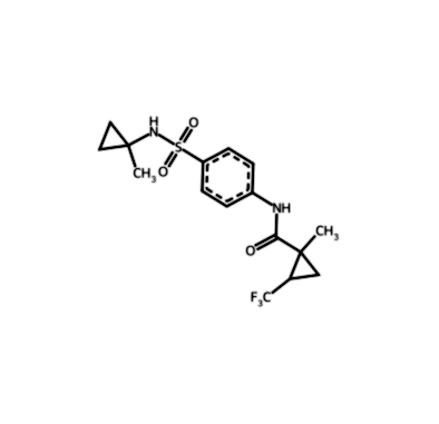 CC1(NS(=O)(=O)c2ccc(NC(=O)C3(C)CC3C(F)(F)F)cc2)CC1